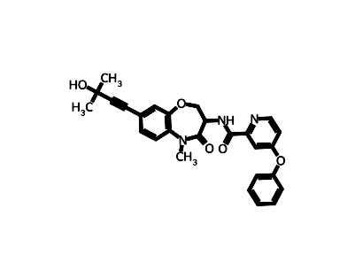 CN1C(=O)C(NC(=O)c2cc(Oc3ccccc3)ccn2)COc2cc(C#CC(C)(C)O)ccc21